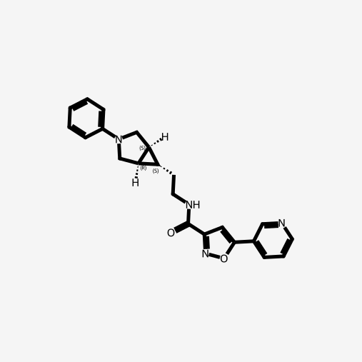 O=C(NCC[C@@H]1[C@H]2CN(c3ccccc3)C[C@@H]12)c1cc(-c2cccnc2)on1